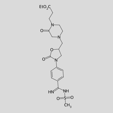 CCOC(=O)CCN1CCN(CC2CN(c3ccc(C(=N)NS(C)(=O)=O)cc3)C(=O)O2)CC1=O